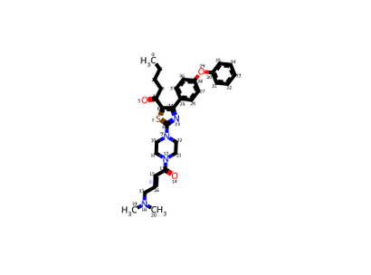 CCCCC(=O)c1sc(N2CCN(C(=O)/C=C/CN(C)C)CC2)nc1-c1ccc(Oc2ccccc2)cc1